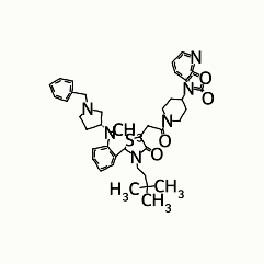 CN(c1ccccc1C1SC(CC(=O)N2CCC(n3c(=O)oc4ncccc43)CC2)C(=O)N1CCC(C)(C)C)[C@@H]1CCN(Cc2ccccc2)C1